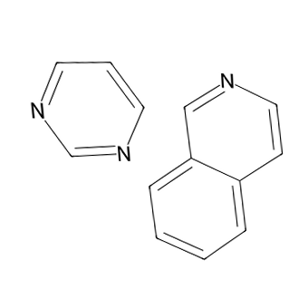 c1ccc2cnccc2c1.c1cncnc1